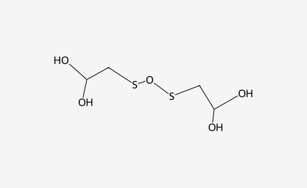 OC(O)CSOSCC(O)O